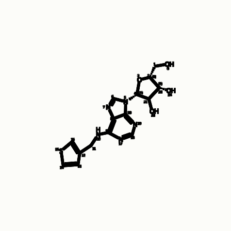 OC[C@H]1O[C@@H](n2cnc3c(NCc4ccsc4)ncnc32)C(O)[C@H]1O